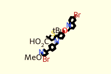 COc1ncc(-c2ccc(Cn3c(CC(C)(C)C(=O)O)c(SC(C)(C)C)c4cc(OCc5ccc6cc(Br)ccc6n5)ccc43)cc2)cc1Br